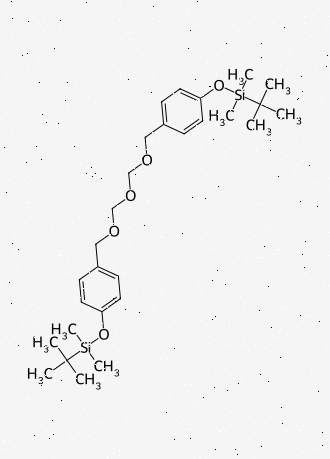 CC(C)(C)[Si](C)(C)Oc1ccc(COCOCOCc2ccc(O[Si](C)(C)C(C)(C)C)cc2)cc1